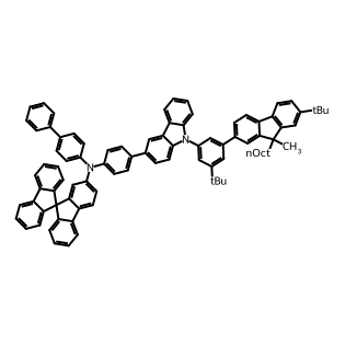 CCCCCCCCC1(C)c2cc(-c3cc(-n4c5ccccc5c5cc(-c6ccc(N(c7ccc(-c8ccccc8)cc7)c7ccc8c(c7)C7(c9ccccc9-c9ccccc97)c7ccccc7-8)cc6)ccc54)cc(C(C)(C)C)c3)ccc2-c2ccc(C(C)(C)C)cc21